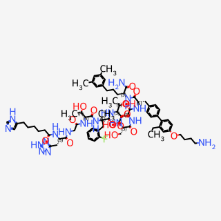 CCc1cc(OCCCCN)ccc1-c1ccc(C[C@H](NC(=O)[C@H](CC(=O)O)NC(=O)[C@H](CO)NC(=O)[C@@H](NC(=O)[C@](C)(Cc2ccccc2F)NC(=O)[C@@H](NC(=O)CNC(=O)[C@H](Cc2nn[nH]n2)NC(=O)CCCCCc2cnc[nH]2)[C@@H](C)O)[C@@H](C)O)C(=O)N[C@@H](CCCc2cc(C)cc(C)c2)C(N)=O)cc1